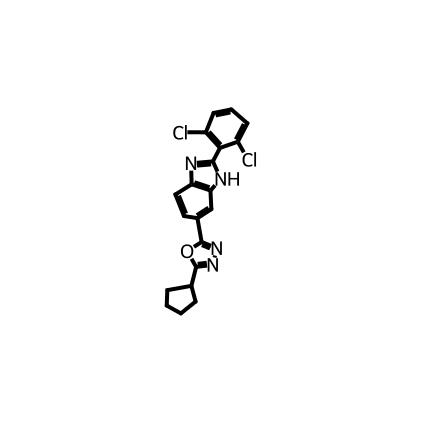 Clc1cccc(Cl)c1-c1nc2ccc(-c3nnc(C4CCCC4)o3)cc2[nH]1